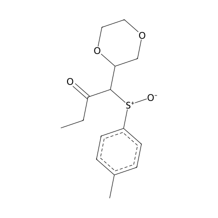 CCC(=O)C(C1COCCO1)[S+]([O-])c1ccc(C)cc1